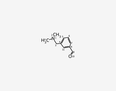 CN(C)Cc1cccc([C]=O)c1